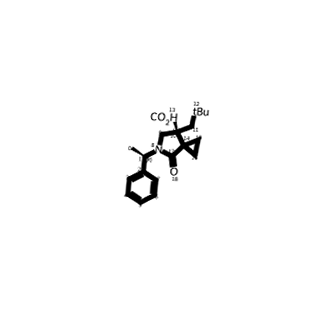 C[C@H](c1ccccc1)N1C[C@@](CC(C)(C)C)(C(=O)O)C2(CC2)C1=O